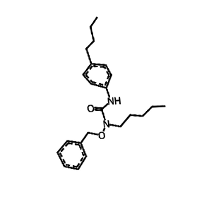 CCCCCN(OCc1ccccc1)C(=O)Nc1ccc(CCCC)cc1